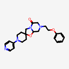 O=C1CN(CCOc2ccccc2)CC2OC3(CCN(c4ccncc4)CC3)CN12